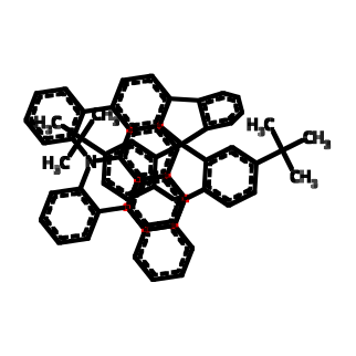 CC(C)(C)c1ccc2c(c1)C1(c3cc(C(C)(C)C)ccc3S2)c2ccccc2-c2ccc(-c3ccccc3N(c3ccccc3-c3cccc4ccccc34)c3cccc4ccccc34)cc21